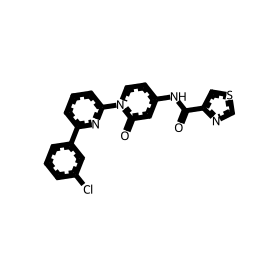 O=C(Nc1ccn(-c2cccc(-c3cccc(Cl)c3)n2)c(=O)c1)c1cscn1